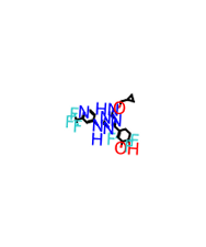 OC1C(F)=C(c2nc(NOCC3CC3)nc(Nc3ccnc(C(F)(F)F)c3)n2)CCC1(F)F